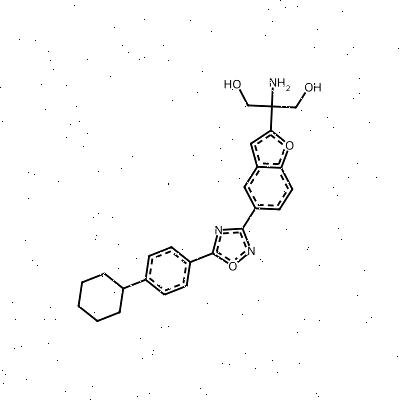 NC(CO)(CO)c1cc2cc(-c3noc(-c4ccc(C5CCCCC5)cc4)n3)ccc2o1